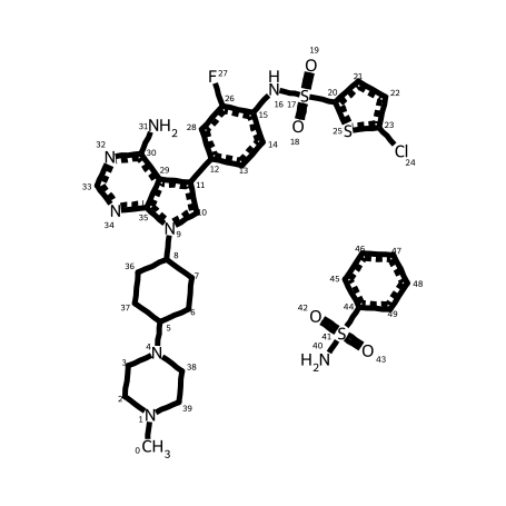 CN1CCN(C2CCC(n3cc(-c4ccc(NS(=O)(=O)c5ccc(Cl)s5)c(F)c4)c4c(N)ncnc43)CC2)CC1.NS(=O)(=O)c1ccccc1